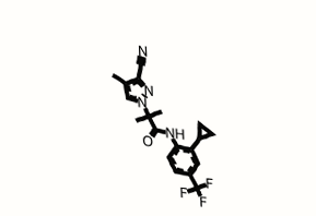 Cc1cn(C(C)(C)C(=O)Nc2ccc(C(F)(F)F)cc2C2CC2)nc1C#N